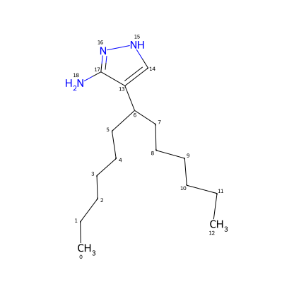 CCCCCCC(CCCCCC)c1c[nH]nc1N